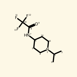 CC(C)N1CCC(NC(=O)C(F)(F)F)CC1